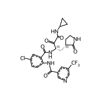 O=C(NC1CC1)C(=O)[C@H](C[C@@H]1CCNC1=O)NC(=O)c1cc(Cl)ccc1NC(=O)c1cncc(C(F)(F)F)c1